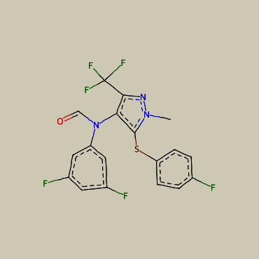 Cn1nc(C(F)(F)F)c(N(C=O)c2cc(F)cc(F)c2)c1Sc1ccc(F)cc1